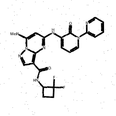 CNc1cc(Nc2cccn(-c3ccccn3)c2=O)nc2c(C(=O)NC3CCC3(F)F)cnn12